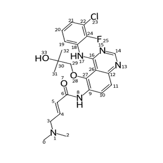 CN(C)C/C=C/C(=O)Nc1ccc2ncnc(Nc3cccc(Cl)c3F)c2c1OCC(C)(C)O